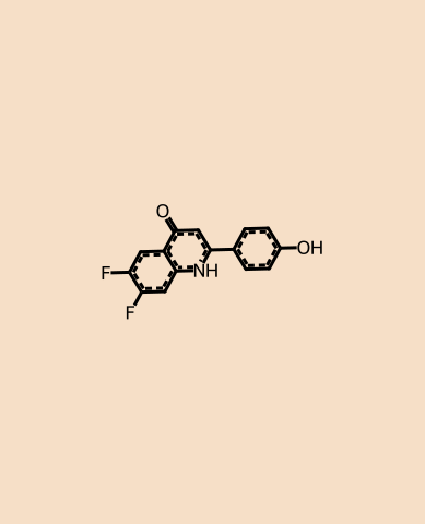 O=c1cc(-c2ccc(O)cc2)[nH]c2cc(F)c(F)cc12